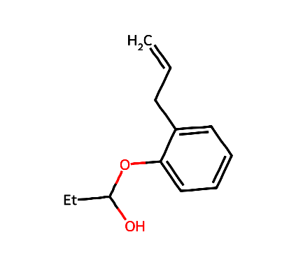 C=CCc1ccccc1OC(O)CC